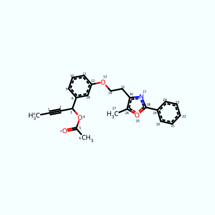 CC#CC(OC(C)=O)c1cccc(OCCc2nc(-c3ccccc3)oc2C)c1